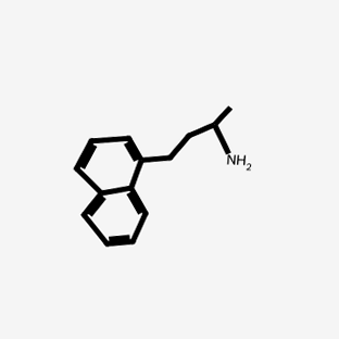 CC(N)CCc1cccc2ccccc12